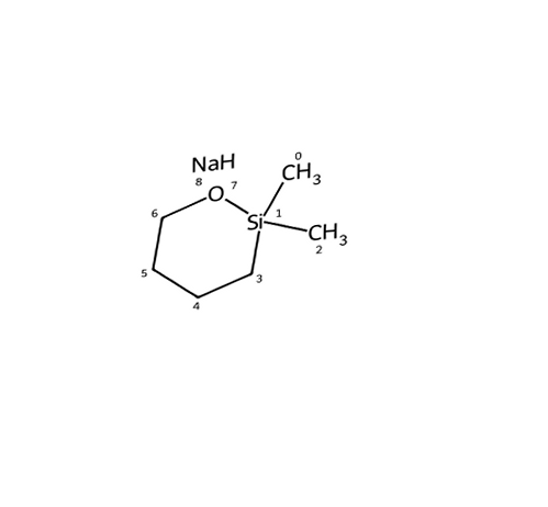 C[Si]1(C)CCCCO1.[NaH]